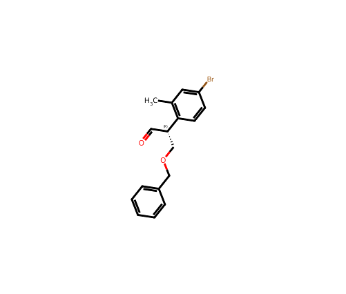 Cc1cc(Br)ccc1[C@@H](C=O)COCc1ccccc1